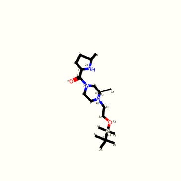 CC1CCC(C(=O)N2CCN(CCO[Si](C)(C)C(C)(C)C)[C@H](C)C2)N1